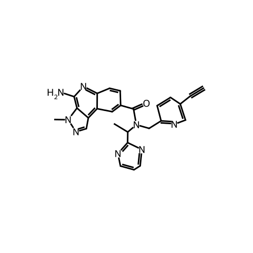 C#Cc1ccc(CN(C(=O)c2ccc3nc(N)c4c(cnn4C)c3c2)C(C)c2ncccn2)nc1